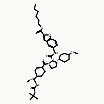 CCCCCCOC(=O)c1cc2cc(NC(=O)[C@@H]3[C@H](C4CCC(OC)CC4)CCN3C(=O)C3CCC([C@@H](CF)NC(=O)OC(C)(C)C)CC3)ccc2o1